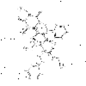 CCOC(=O)[C@H](CCc1ccccc1)N(C(=O)OC(=O)N([C@@H](C)C=O)[C@@H](CCc1ccccc1)C(=O)OCC)[C@@H](C)C=O